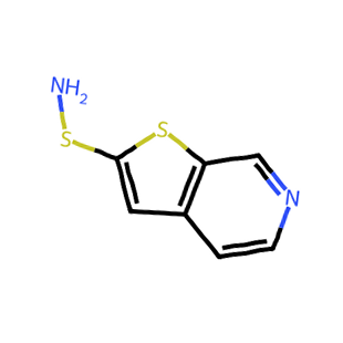 NSc1cc2ccncc2s1